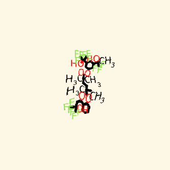 CCC(C)(CCC(C)(C)C(=O)OC1CC(C(C)(O)C(F)(F)F)CC(C(O)(C(F)(F)F)C(F)(F)F)C1)C(=O)OC(CC(O)(C(F)(F)F)C(F)(F)F)C1CCCCC1